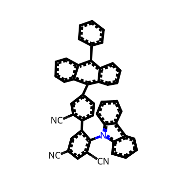 N#Cc1cc(C#N)c(-n2c3ccccc3c3ccccc32)c(-c2ccc(-c3c4ccccc4c(-c4ccccc4)c4ccccc34)cc2C#N)c1